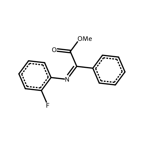 COC(=O)C(=Nc1ccccc1F)c1ccccc1